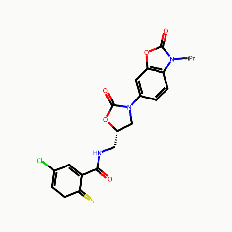 CC(C)n1c(=O)oc2cc(N3C[C@H](CNC(=O)C4=CC(Cl)=CCC4=S)OC3=O)ccc21